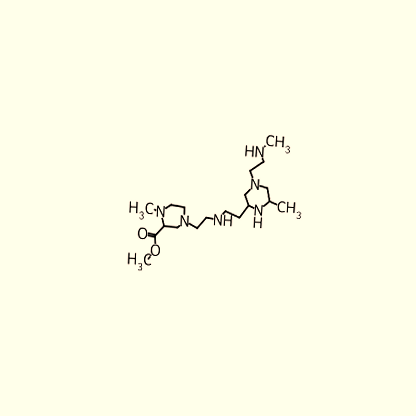 CNCCN1CC(C)NC(CCNCCN2CCN(C)C(C(=O)OC)C2)C1